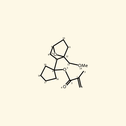 C=C(C)C(=O)OC1(C2CC3CCC2(COC)O3)CCCC1